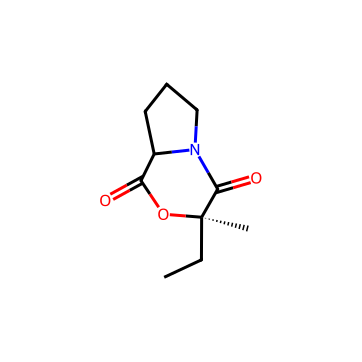 CC[C@@]1(C)OC(=O)C2CCCN2C1=O